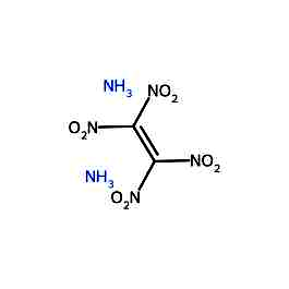 N.N.O=[N+]([O-])C(=C([N+](=O)[O-])[N+](=O)[O-])[N+](=O)[O-]